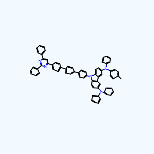 Cc1ccc(N(c2ccccc2)c2ccc3c(c2)c2cc(N(c4ccccc4)c4ccccc4)ccc2n3-c2ccc(-c3ccc(-c4ccc(-c5cc(-c6ccccc6)nc(-c6ccccc6)n5)cc4)cc3)cc2)cc1